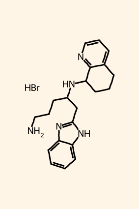 Br.NCCCC(Cc1nc2ccccc2[nH]1)NC1CCCc2cccnc21